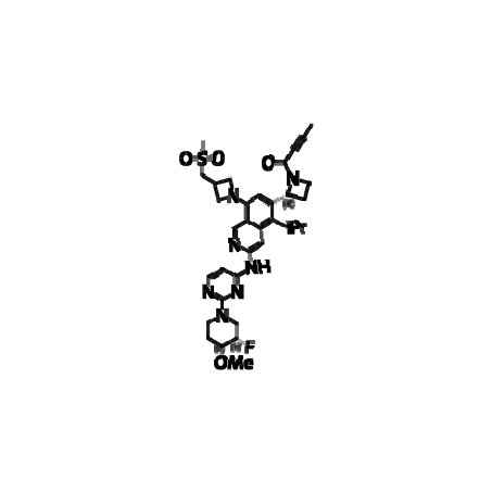 CC#CC(=O)N1CC[C@@H]1c1cc(N2CC(CS(C)(=O)=O)C2)c2cnc(Nc3ccnc(N4CC[C@@H](OC)[C@@H](F)C4)n3)cc2c1C(C)C